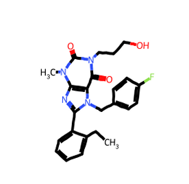 CCc1ccccc1-c1nc2c(c(=O)n(CCCO)c(=O)n2C)n1Cc1ccc(F)cc1